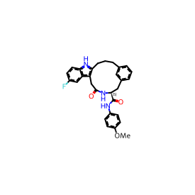 COc1ccc(NC(=O)[C@@H]2Cc3cccc(c3)CCCc3[nH]c4ccc(F)cc4c3CC(=O)N2)cc1